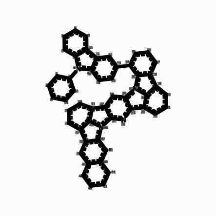 c1ccc(-n2c3ccccc3c3cc(-c4cccc5c6cccc7c8nc9c(cc8n(c45)c67)c4cccc5c6cc7ccccc7cc6n9c54)ccc32)cc1